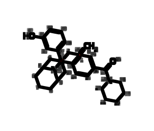 C=CCN1CC2CCCC(C1)N2C(c1ccc(C(=O)N2CCCCC2)cc1)c1cccc(O)c1